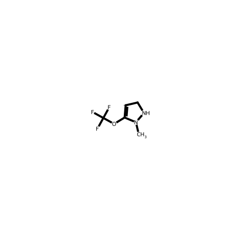 CN1NC[C]=C1OC(F)(F)F